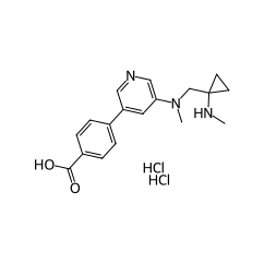 CNC1(CN(C)c2cncc(-c3ccc(C(=O)O)cc3)c2)CC1.Cl.Cl